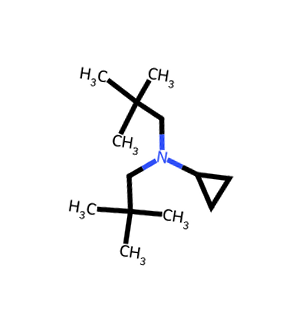 CC(C)(C)CN(CC(C)(C)C)C1CC1